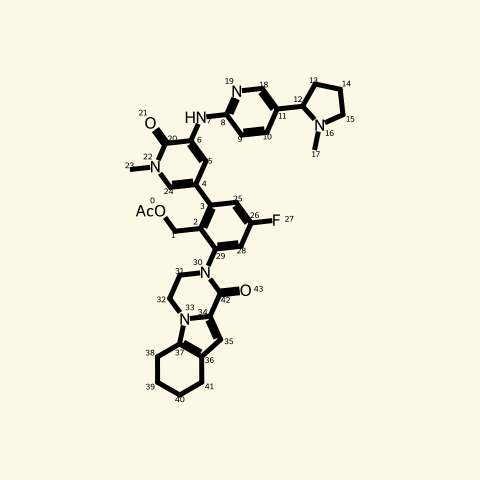 CC(=O)OCc1c(-c2cc(Nc3ccc(C4CCCN4C)cn3)c(=O)n(C)c2)cc(F)cc1N1CCn2c(cc3c2CCCC3)C1=O